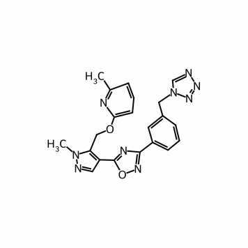 Cc1cccc(OCc2c(-c3nc(-c4cccc(Cn5cnnn5)c4)no3)cnn2C)n1